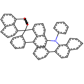 c1ccc(-c2ccc3ccccc3c2N(c2ccccc2)c2ccc3c4c(cccc24)C2(c4ccccc4-c4cccc5cccc2c45)c2ccccc2-3)cc1